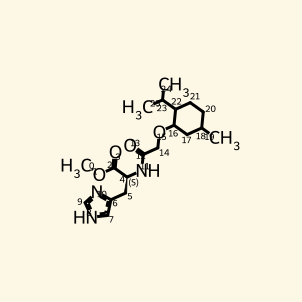 COC(=O)[C@H](Cc1c[nH]cn1)NC(=O)COC1CC(C)CCC1C(C)C